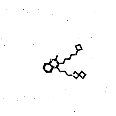 Cc1nc2ccccc2c(CCCN2CC3(CCC3)C2)c1CCCCCC1CCC1